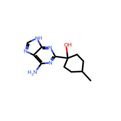 CC1CCC(O)(c2nc(N)c3nc[nH]c3n2)CC1